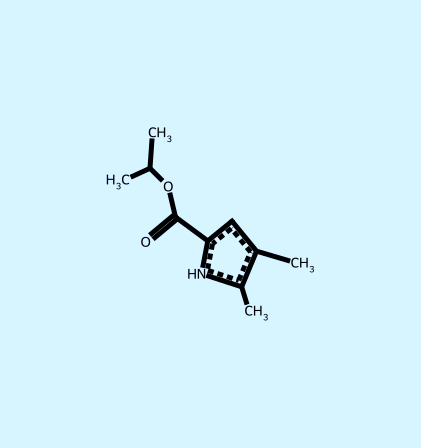 Cc1cc(C(=O)OC(C)C)[nH]c1C